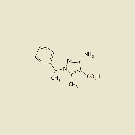 Cc1c(C(=O)O)c(N)nn1C(C)c1ccccc1